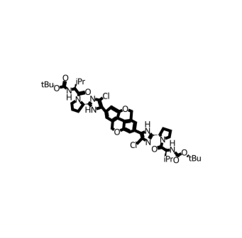 CC(C)[C@H](NC(=O)OC(C)(C)C)C(=O)N1CCC[C@H]1c1nc(Cl)c(-c2cc3c4c(c2)OCc2cc(-c5[nH]c([C@@H]6CCCN6C(=O)[C@@H](NC(=O)OC(C)(C)C)C(C)C)nc5Cl)cc(c2-4)OC3)[nH]1